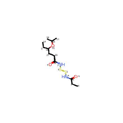 CCC(=O)NSSNC(=O)CCC(CC)OC(C)C